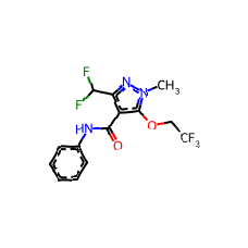 Cn1nc(C(F)F)c(C(=O)Nc2ccccc2)c1OCC(F)(F)F